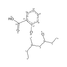 CCC(C)CC(Cl)CC.O=C(O)c1ccccc1Cl